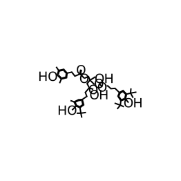 Cc1cc(CCC(=O)OCC(CO)(COOCCCc2cc(C(C)(C)C)c(O)c(C(C)(C)C)c2)CC(CCc2cc(C)c(O)c(C(C)(C)C)c2)OO)cc(C)c1O